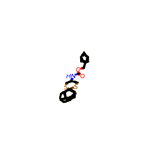 O=C(NC1CSC2(SC1)C1CC3CC(C1)CC2C3)OCc1ccccc1